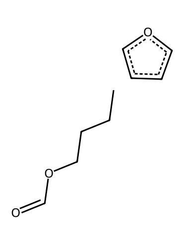 CCCCOC=O.c1ccoc1